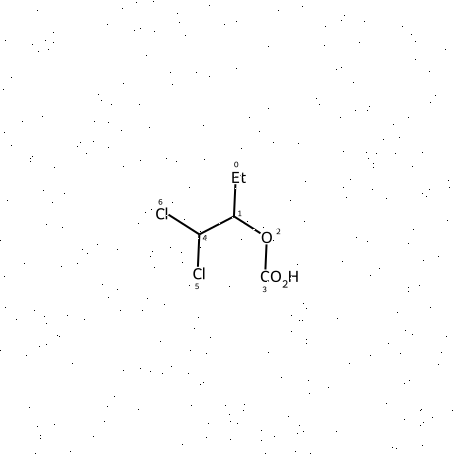 CCC(OC(=O)O)C(Cl)Cl